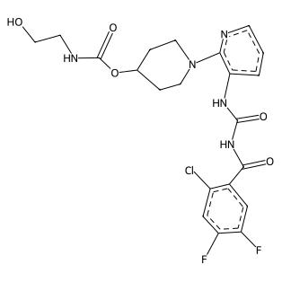 O=C(NC(=O)c1cc(F)c(F)cc1Cl)Nc1cccnc1N1CCC(OC(=O)NCCO)CC1